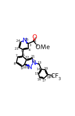 COC(=O)c1cc(-c2cccc3nn(Cc4cccc(C(F)(F)F)c4)cc23)ccn1